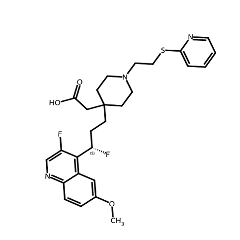 COc1ccc2ncc(F)c([C@@H](F)CCC3(CC(=O)O)CCN(CCSc4ccccn4)CC3)c2c1